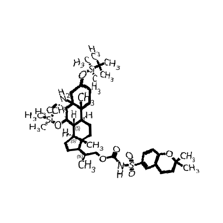 CC[C@H]1C(O[Si](C)(C)C)[C@H]2[C@@H]3CCC([C@H](C)COC(=O)NS(=O)(=O)c4ccc5c(c4)CCC(C)(C)O5)C3(C)CC[C@@H]2C2(C)CCC(O[Si](C)(C)C(C)(C)C)CC12N